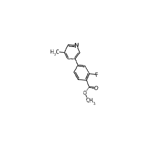 COC(=O)c1ccc(-c2cncc(C)c2)cc1F